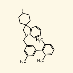 Cc1cccc(C)c1-c1cc(COCC2(c3ccccc3)CCNCC2)cc(C(F)(F)F)c1